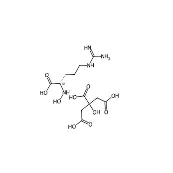 N=C(N)NCCC[C@H](NO)C(=O)O.O=C(O)CC(O)(CC(=O)O)C(=O)O